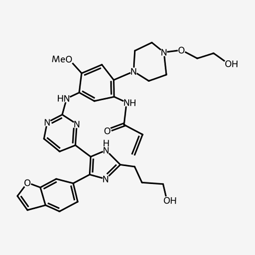 C=CC(=O)Nc1cc(Nc2nccc(-c3[nH]c(CCCO)nc3-c3ccc4ccoc4c3)n2)c(OC)cc1N1CCN(OCCO)CC1